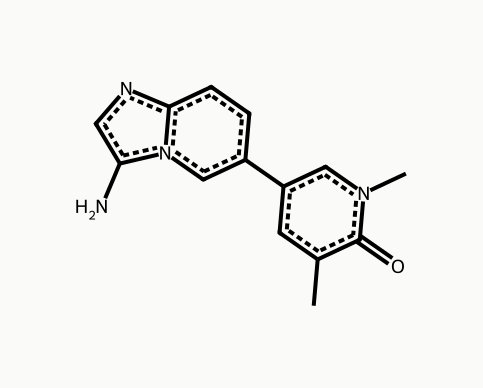 Cc1cc(-c2ccc3ncc(N)n3c2)cn(C)c1=O